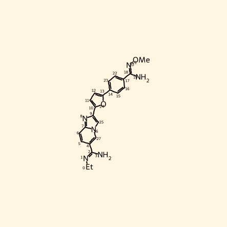 CC/N=C(\N)c1ccc2nc(-c3ccc(-c4ccc(/C(N)=N/OC)cc4)o3)cn2c1